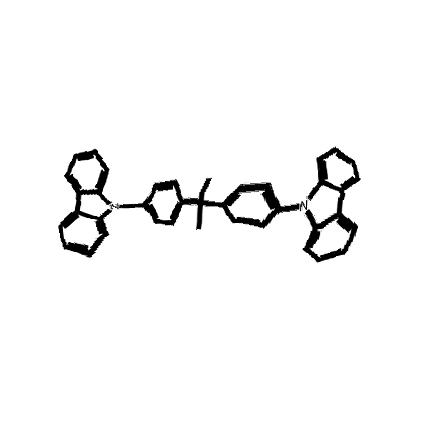 CC(C)(c1ccc(-n2c3ccccc3c3ccccc32)cc1)c1ccc(-n2c3ccccc3c3ccccc32)cc1